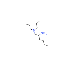 CCCCC(N)CN(CCC)CCC